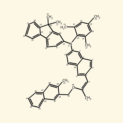 CC(=Cc1ccc2cc(N(c3ccc4c(c3)C(C)(C)c3ccccc3-4)c3c(C)cc(C)cc3C)ccc2c1)OCc1cc2ccccc2cc1C